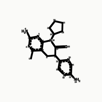 Cc1nc(N)nc2c1CC(c1cnc(N)cn1)C(=O)N2C1CCCC1